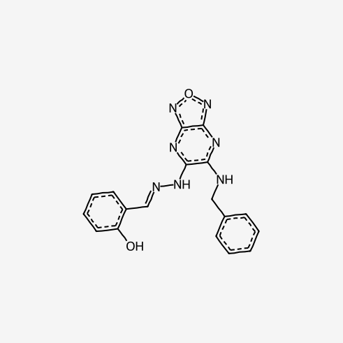 Oc1ccccc1C=NNc1nc2nonc2nc1NCc1ccccc1